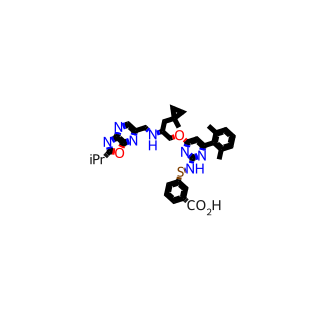 Cc1cccc(C)c1-c1cc(OCC(CC2(C)CC2)NCc2cnc3nc(C(C)C)oc3n2)nc(NSc2cccc(C(=O)O)c2)n1